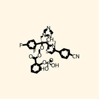 C[C@@H](c1nc(-c2ccc(C#N)cc2)cs1)[C@@](Cn1cncn1)(OCOC(=O)c1ccccc1OP(=O)(O)O)c1ccc(F)cc1F